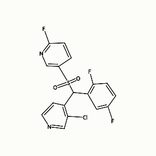 O=S(=O)(c1ccc(F)nc1)C(c1cc(F)ccc1F)c1ccncc1Cl